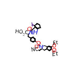 CCOc1cc2c(cc1OCC)CN(C(=O)Oc1ccc(C[C@H](NC(=O)c3ccccc3I)C(=O)O)cc1)C(CC#N)C2